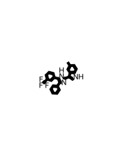 Cc1ccc2[nH]cc(-c3nc(-c4ccccc4)c(-c4cccc(C(F)(F)F)c4)[nH]3)c2c1